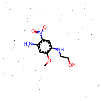 COc1cc(N)c([N+](=O)[O-])cc1NCCO